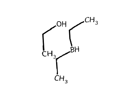 CCBCC.CCO